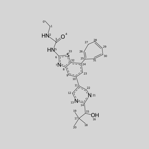 CCNC(=O)Nc1nc2cc(-c3cnc(C(O)C(C)(C)C)nc3)cc(C3=CCC=CC=C3)c2s1